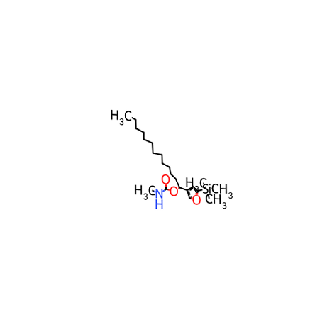 CCCCCCCCCCCCC(OC(=O)NC)c1coc([Si](C)(C)C)c1